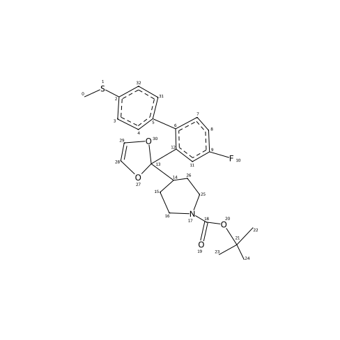 CSc1ccc(-c2ccc(F)cc2C2(C3CCN(C(=O)OC(C)(C)C)CC3)OC=CO2)cc1